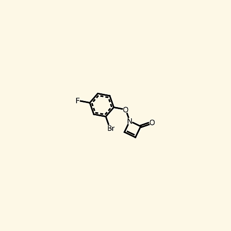 O=C1C=CN1Oc1ccc(F)cc1Br